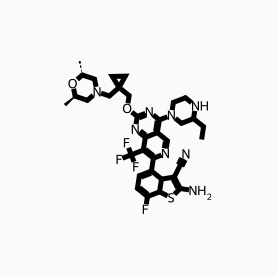 CCC1CN(c2nc(OCC3(CN4C[C@@H](C)O[C@H](C)C4)CC3)nc3c(C(F)(F)F)c(C4=CC=C(F)C5SC(N)=C(C#N)C45)ncc23)CCN1